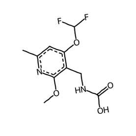 COc1nc(C)cc(OC(F)F)c1CNC(=O)O